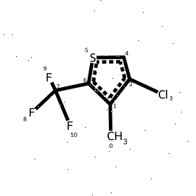 Cc1c(Cl)csc1C(F)(F)F